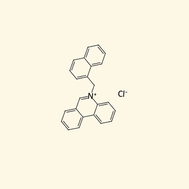 [Cl-].c1ccc2c(C[n+]3cc4ccccc4c4ccccc43)cccc2c1